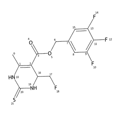 CC1=C(C(=O)OCc2cc(F)c(F)c(F)c2)C(CF)NC(=S)N1